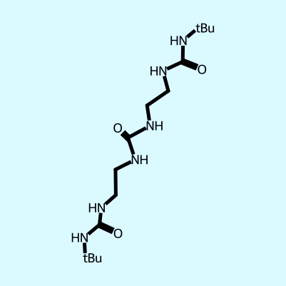 CC(C)(C)NC(=O)NCCNC(=O)NCCNC(=O)NC(C)(C)C